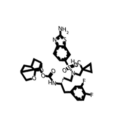 CC1(CN(CC[C@H](Cc2ccc(F)c(F)c2)NC(=O)OC2C3COC4OC2CC4C3)S(=O)(=O)c2ccc3nc(N)sc3c2)CC1